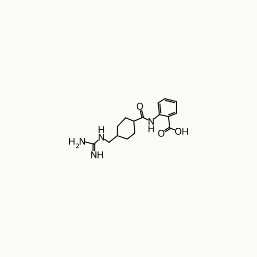 N=C(N)NCC1CCC(C(=O)Nc2ccccc2C(=O)O)CC1